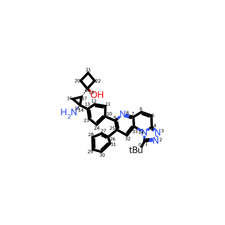 CC(C)(C)c1nnc2ccc3nc(-c4ccc([C@@]5(N)C[C@@H]5C5(O)CCC5)cc4)c(-c4ccccc4)cc3n12